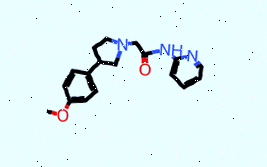 COc1ccc(C2CCN(CC(=O)Nc3ccccn3)C2)cc1